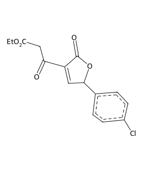 CCOC(=O)CC(=O)C1=CC(c2ccc(Cl)cc2)OC1=O